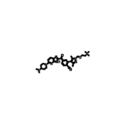 Cc1nn(COCC[Si](C)(C)C)c(C)c1-c1cc(C(=O)c2nc3ccc(N4CCC(N(C)C)CC4)nc3[nH]2)ccc1C#N